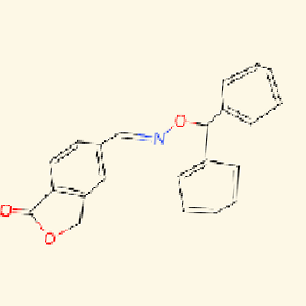 O=C1OCc2cc(C=NOC(c3ccccc3)c3ccccc3)ccc21